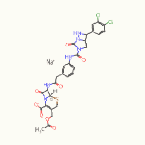 CC(=O)OCC1=C(C(=O)[O-])N2C(=O)C(NC(=O)Cc3cccc(NC(=O)N4CC5C(c6ccc(Cl)c(Cl)c6)NN5C4=O)c3)[C@@H]2SC1.[Na+]